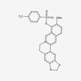 COc1ccc2cc3[n+](cc2c1OS(=O)(=O)c1ccc(C(F)(F)F)cc1)CCc1cc2c(cc1-3)OCO2